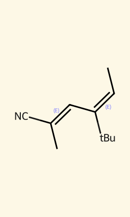 C/C=C(\C=C(/C)C#N)C(C)(C)C